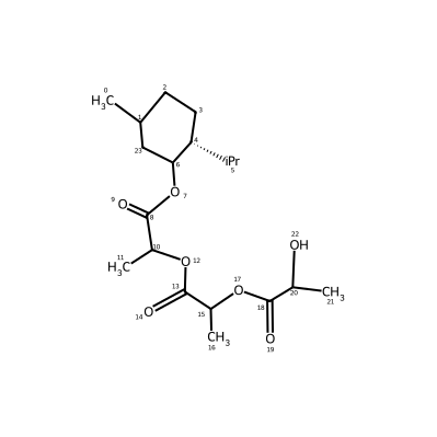 CC1CC[C@H](C(C)C)C(OC(=O)C(C)OC(=O)C(C)OC(=O)C(C)O)C1